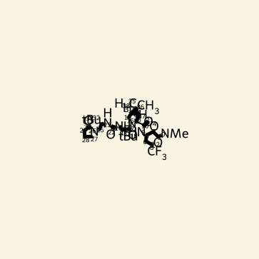 CNC(=O)C(=O)C(CCC(F)(F)F)NC(=O)[C@@H]1[C@@H]2[C@H](CN1C(=O)[C@@H](NC(=O)N[C@H](CN1CCCC1=O)C(C)(C)C)C(C)(C)C)C2(C)C